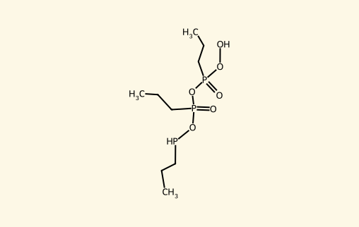 CCCPOP(=O)(CCC)OP(=O)(CCC)OO